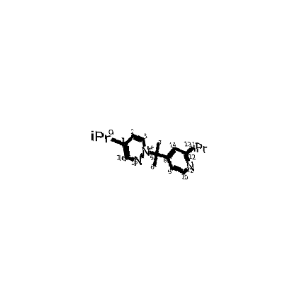 CC(C)c1cc[n+](C(C)(C)c2ccnc(C(C)C)c2)nc1